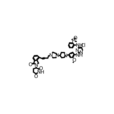 COc1cc(N2CCC(N3CCN(CCC#Cc4cccc5c4CN(C4CCC(=O)NC4=O)C5=O)CC3)CC2)ccc1Nc1ncc(Cl)c(Nc2ccccc2P(C)(C)=O)n1